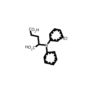 Cl.O=C(O)CCC(C(=O)O)N(c1ccccc1)c1ccccc1